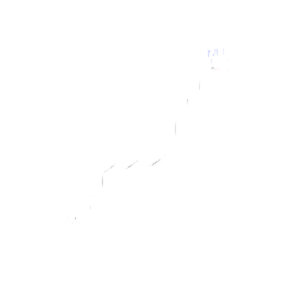 CCCC\C=C/C=C/C=C\CCCCCCCC(N)=O